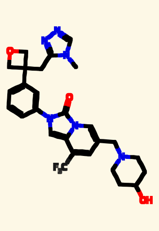 Cn1cnnc1CC1(c2cccc(-n3cc4c(C(F)(F)F)cc(CN5CCC(O)CC5)cn4c3=O)c2)COC1